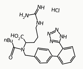 CCCCC(=O)N(Cc1ccc(-c2ccccc2-c2nnn[nH]2)cc1)C(CCCNC(=N)N)C(=O)O.Cl